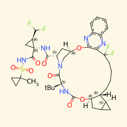 CC(C)(C)[C@@H]1NC(=O)O[C@@H]2CC3C[C@@H]3[C@H]2CCCCC(F)(F)c2nc3ccccc3nc2O[C@@H]2C[C@@H](C(=O)N[C@]3(C(=O)NS(=O)(=O)C4(C)CC4)C[C@H]3C(F)F)N(C2)C1=O